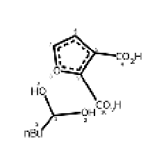 CCCCC(O)O.O=C(O)c1ccoc1C(=O)O